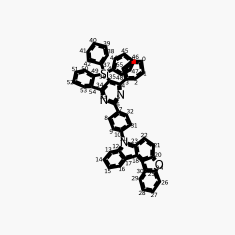 c1ccc(-c2nc(-c3ccc(-n4c5ccccc5c5c6c(ccc54)oc4ccccc46)cc3)nc3c2[Si](c2ccccc2)(c2ccccc2)c2ccccc2-3)cc1